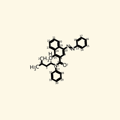 CC(C)CCN(C(=O)c1cc(N=Nc2ccccc2)c2ccccc2c1O)c1ccccc1